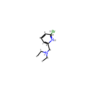 CCN(CC)Cc1cccc(Br)n1